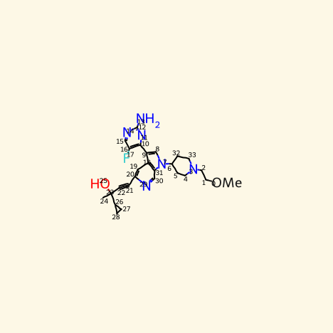 COCCN1CCC(n2cc(-c3nc(N)ncc3F)c3cc(C#CC(C)(O)C4CC4)ncc32)CC1